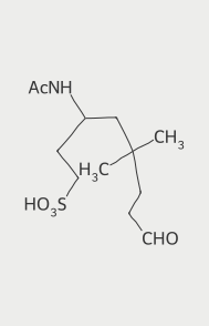 CC(=O)NC(CCS(=O)(=O)O)CC(C)(C)CCC=O